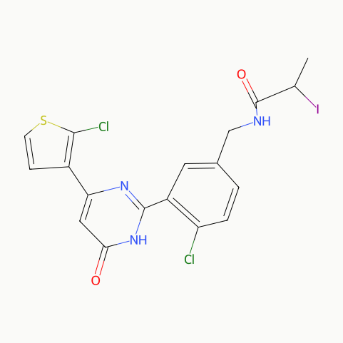 CC(I)C(=O)NCc1ccc(Cl)c(-c2nc(-c3ccsc3Cl)cc(=O)[nH]2)c1